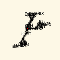 CCCCCCC(CC)OC(=O)CCCN(CCCCCCNC(=O)C12CC3CC(C(=O)NCCCCCCN(CCCC(=O)OC(CC)CCCCCC)CCCC(=O)OC(CC)CCCCCC)(C1)CC(C(=O)NCCCCCCN(CCCC(=O)OC(CC)CCCCCC)CCCC(=O)OC(CC)CCCCCC)(C3)C2)CCCC(=O)OC(CC)CCCCCC